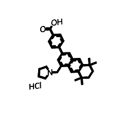 CC1(C)CCC(C)(C)c2cc3c(CN4CCCC4)cc(-c4ccc(C(=O)O)cc4)cc3cc21.Cl